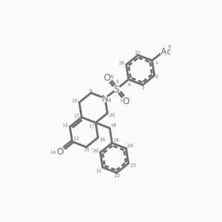 CC(=O)c1ccc(S(=O)(=O)N2CCC3=CC(=O)CCC3(Cc3ccccc3)C2)cc1